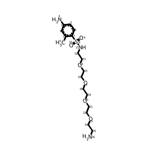 Cc1cc(N)ccc1S(=O)(=O)NCCOCCOCCOCCOCCN